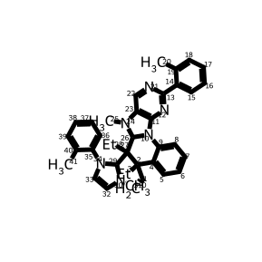 C=CC1(CC)c2ccccc2N2c3nc(-c4ccccc4C)ncc3N(C)C2C1(CC)C1N(C)C=CN1c1ccccc1C